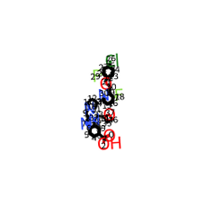 O=C(O)c1ccc2nc(CN3CC[C@H](c4ccc(F)c(COc5ccc(Cl)cc5F)n4)C3)n(C[C@@H]3CCO3)c2c1